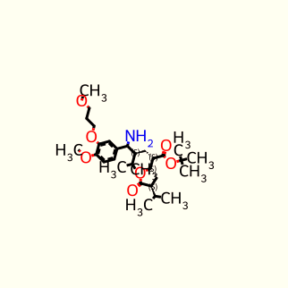 COCCCOc1cc(C(N)[C@@H](C[C@H](C(=O)OC(C)(C)C)[C@@H]2C[C@@H](C(C)C)C(=O)O2)C(C)C)ccc1OC